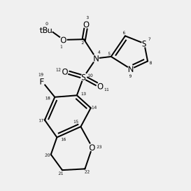 CC(C)(C)OC(=O)N(c1cscn1)S(=O)(=O)c1cc2c(cc1F)CCCO2